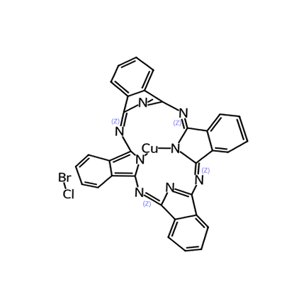 ClBr.c1ccc2c(c1)C1=NC/2=N\c2c3ccccc3c3[n]2[Cu][n]2/c(c4ccccc4/c2=N/C2=N\C(=N/3)c3ccccc32)=N\1